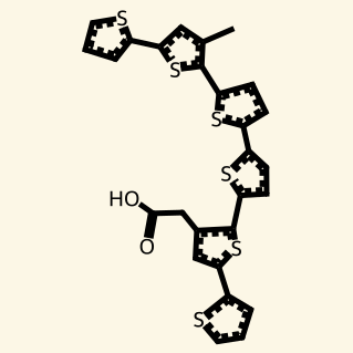 Cc1cc(-c2cccs2)sc1-c1ccc(-c2ccc(-c3sc(-c4cccs4)cc3CC(=O)O)s2)s1